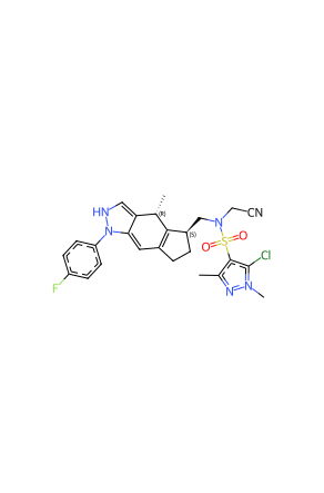 Cc1nn(C)c(Cl)c1S(=O)(=O)N(CC#N)C[C@H]1CCC2=C1[C@@H](C)C1=CNN(c3ccc(F)cc3)C1=C2